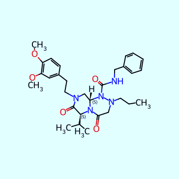 CCCN1CC(=O)N2[C@@H](C(C)C)C(=O)N(CCc3ccc(OC)c(OC)c3)C[C@@H]2N1C(=O)NCc1ccccc1